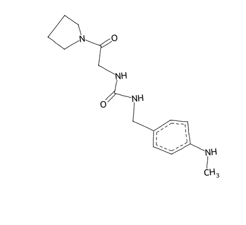 CNc1ccc(CNC(=O)NCC(=O)N2CCCC2)cc1